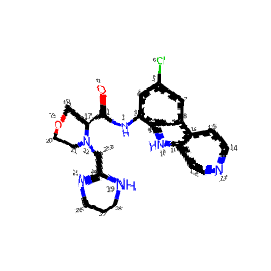 O=C(Nc1cc(Cl)cc2c1[nH]c1cnccc12)[C@@H]1COCCN1CC1=NCCCN1